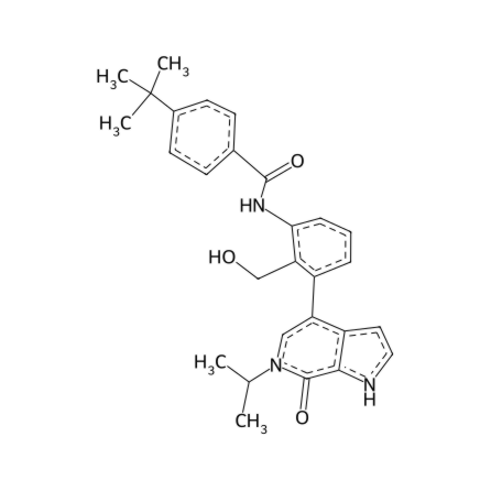 CC(C)n1cc(-c2cccc(NC(=O)c3ccc(C(C)(C)C)cc3)c2CO)c2cc[nH]c2c1=O